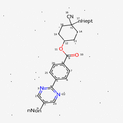 CCCCCCCCCc1cnc(-c2ccc(C(=O)OC3CCC(C#N)(CCCCCCC)CC3)cc2)nc1